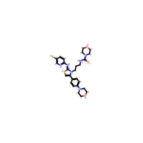 O=C(NCCCn1c(-c2ccc(N3CCOCC3)cc2)cs/c1=N\c1ccc(F)cn1)N1CCOCC1